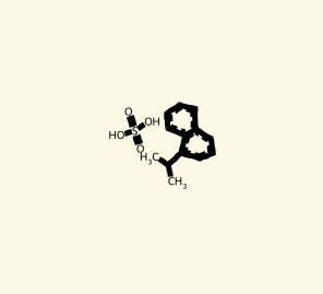 CC(C)c1cccc2ccccc12.O=S(=O)(O)O